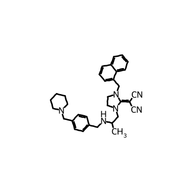 CC(CN1CCN(Cc2cccc3ccccc23)C1=C(C#N)C#N)NCc1ccc(CN2CCCCC2)cc1